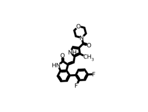 Cc1c(C(=O)N2CCOCC2)c[nH]c1/C=C1\C(=O)Nc2cccc(-c3ccc(F)cc3F)c21